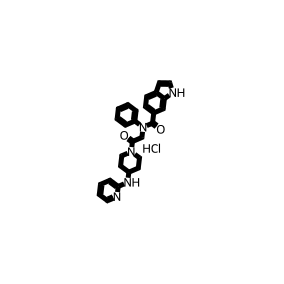 Cl.O=C(CN(C(=O)c1ccc2cc[nH]c2c1)c1ccccc1)N1CCC(Nc2ccccn2)CC1